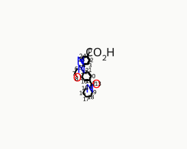 O=C(O)c1ccc(N2CCOC3C=C(C(=O)N4CCCCC4)C=CC32)nc1